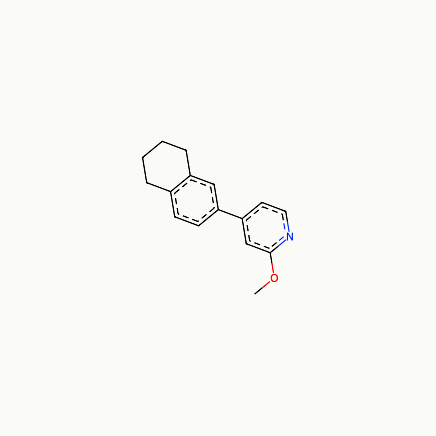 COc1cc(-c2ccc3c(c2)CCCC3)ccn1